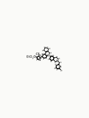 CCOC(=O)c1cnn(-c2cccc(C3=C(COc4ccc5c(c4)CCN(Cc4cccc(C)n4)C5)CCCC3)n2)c1C(F)(F)F